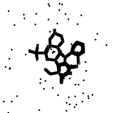 CCn1c2c(c(=O)[nH]c1=O)N(c1ccccc1Cl)C(N1CCNCC1)N2OC(=O)C(F)(F)F